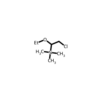 CCOC(CCl)[Si](C)(C)C